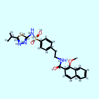 COc1c(C(=O)NCCc2ccc(S(=O)(=O)Nc3nnc(C(C)C)s3)cc2)ccc2ccccc12